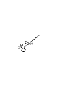 CCCCCCCCNC(=O)C=Cc1ccccc1[N+](=O)[O-]